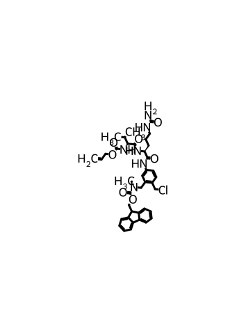 C=CCOC(=O)N[C@H](C(=O)N[C@@H](CCCNC(N)=O)C(=O)Nc1ccc(CCl)c(CN(C)C(=O)OCC2c3ccccc3-c3ccccc32)c1)C(C)C